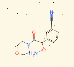 N#Cc1cccc(C(ON)C(=O)N2CCOCC2)c1